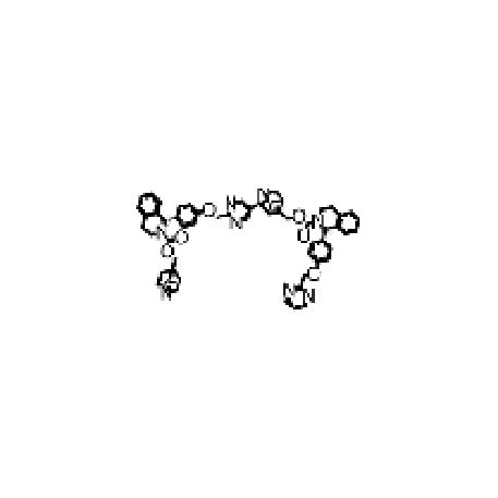 O=C(OCC12CCN(CC1)C(c1cnc(COc3ccc([C@H]4c5ccccc5CCN4C(=O)OCC45CCN(CC4)CC5)cc3)nc1)C2)N1CCc2ccccc2[C@H]1c1ccc(OCc2ncccn2)cc1